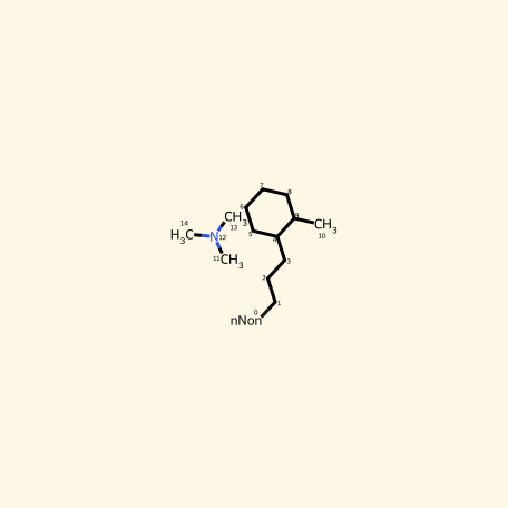 CCCCCCCCCCCCC1CCCCC1C.CN(C)C